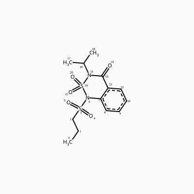 CCCS(=O)(=O)N1c2ccccc2C(=O)N(C(C)C)S1(=O)=O